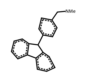 CNCc1ccc(C2c3ccccc3-c3ccccc32)cc1